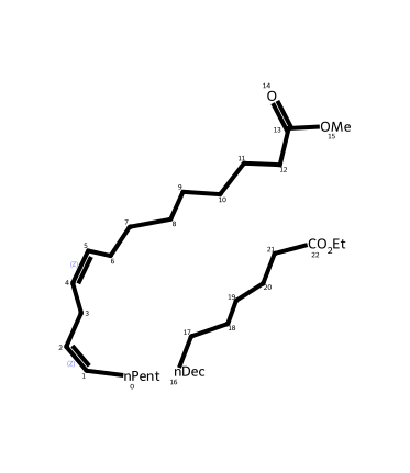 CCCCC/C=C\C/C=C\CCCCCCCC(=O)OC.CCCCCCCCCCCCCCCC(=O)OCC